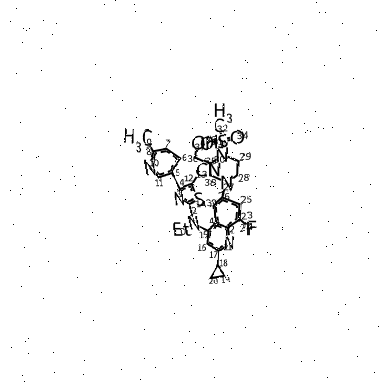 CCN(c1nc(-c2ccc(C)nc2)c(C#N)s1)c1cc(C2CC2)nc2c(F)cc(N3CCN(S(C)(=O)=O)C(CO)C3)cc12